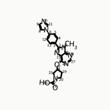 Cn1c(-c2ccc(-n3ccnc3)cc2)nc2c(OC3CCN(C(=O)O)C3)ncnc21